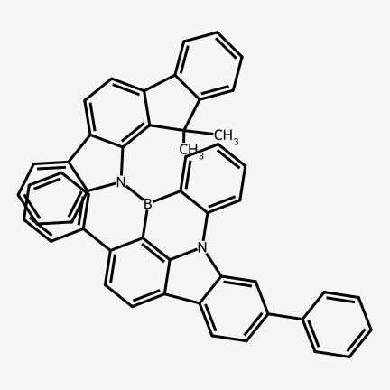 CC1(C)c2ccccc2-c2ccc3c4ccccc4n(B4c5ccccc5-n5c6cc(-c7ccccc7)ccc6c6ccc(-c7ccccc7)c4c65)c3c21